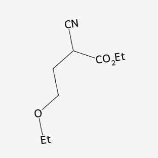 CCOCCC(C#N)C(=O)OCC